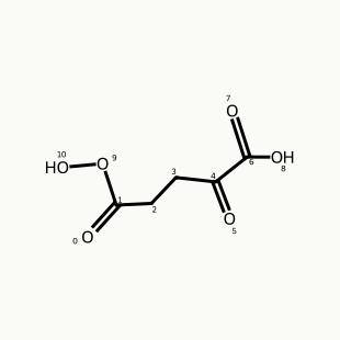 O=C(CCC(=O)C(=O)O)OO